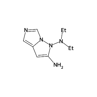 CCN(CC)n1c(N)cc2cncn21